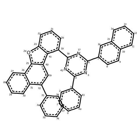 c1ccc(-c2nc(-c3ccc4ccccc4c3)nc(-c3cccc4oc5c6ccccc6c(-c6ccccc6)cc5c34)n2)cc1